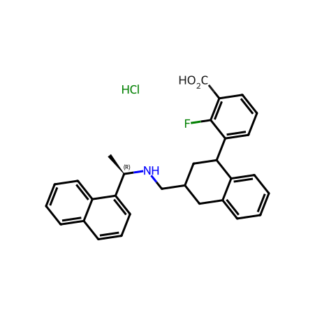 C[C@@H](NCC1Cc2ccccc2C(c2cccc(C(=O)O)c2F)C1)c1cccc2ccccc12.Cl